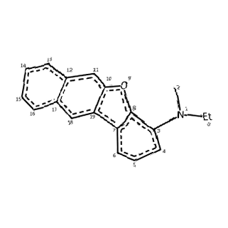 CCN(C)c1cccc2c1oc1cc3ccccc3cc12